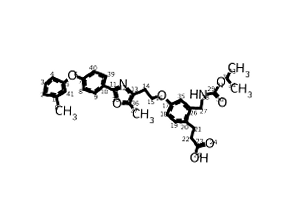 Cc1cccc(Oc2ccc(-c3nc(CCOc4ccc(CCC(=O)O)c(CNC(=O)OC(C)C)c4)c(C)o3)cc2)c1